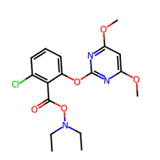 CCN(CC)OC(=O)c1c(Cl)cccc1Oc1nc(OC)cc(OC)n1